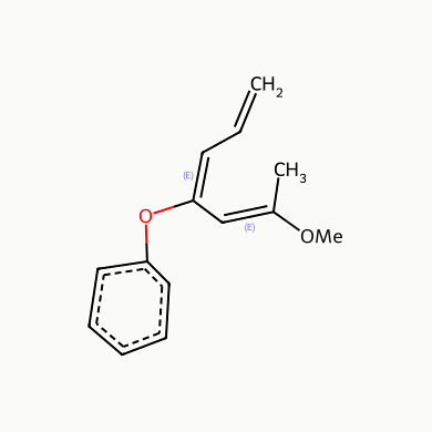 C=C/C=C(\C=C(/C)OC)Oc1ccccc1